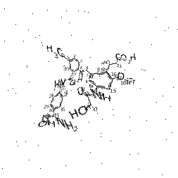 Cc1ccc(NCc2cc(NC(=O)CO)cc(OC(C)C)c2CCC(=O)O)c(C(=O)Nc2ccc(/C(N)=N/O)cc2)c1